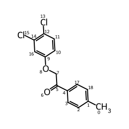 Cc1ccc(C(=O)COc2ccc(Cl)c(Cl)c2)cc1